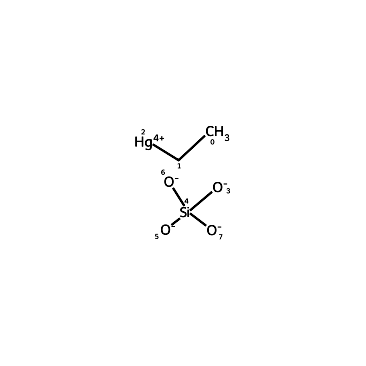 C[CH2][Hg+4].[O-][Si]([O-])([O-])[O-]